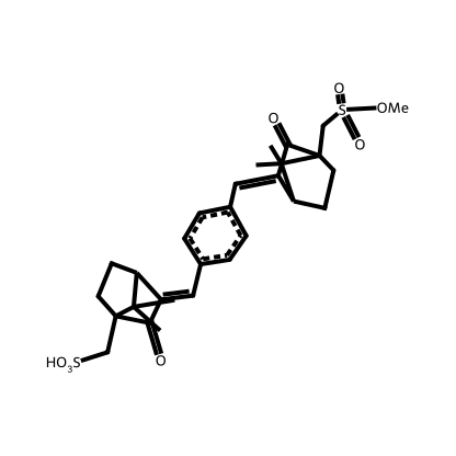 COS(=O)(=O)CC12CCC(/C(=C\c3ccc(/C=C4/C(=O)C5(CS(=O)(=O)O)CCC4C5(C)C)cc3)C1=O)C2(C)C